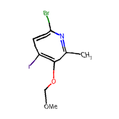 COCOc1c(I)cc(Br)nc1C